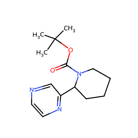 CC(C)(C)OC(=O)N1CCCCC1c1cnccn1